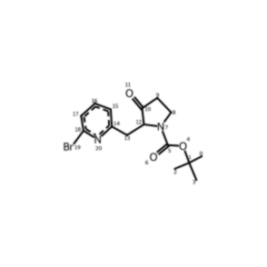 CC(C)(C)OC(=O)N1CCC(=O)C1Cc1cccc(Br)n1